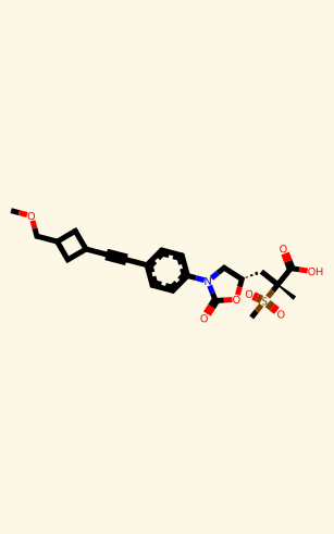 COCC1CC(C#Cc2ccc(N3C[C@H](C[C@](C)(C(=O)O)S(C)(=O)=O)OC3=O)cc2)C1